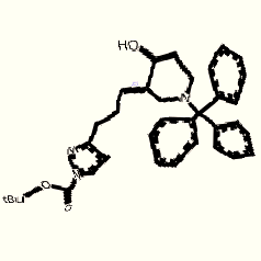 CC(C)(C)OC(=O)n1ccc(CC/C=C2\CN(C(c3ccccc3)(c3ccccc3)c3ccccc3)CCC2O)n1